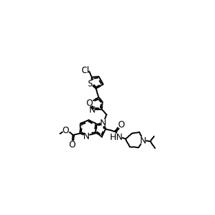 COC(=O)c1ccc2c(cc(C(=O)NC3CCN(C(C)C)CC3)n2Cc2cc(-c3ccc(Cl)s3)on2)n1